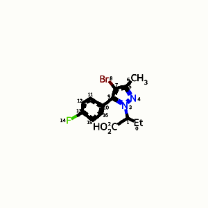 CCC(C(=O)O)n1nc(C)c(Br)c1-c1ccc(F)cc1